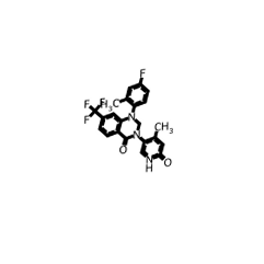 Cc1cc(=O)[nH]cc1N1CN(c2ccc(F)cc2C)c2cc(C(F)(F)F)ccc2C1=O